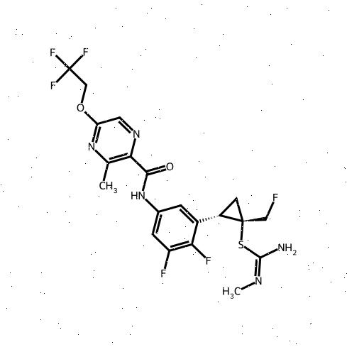 C/N=C(/N)S[C@@]1(CF)C[C@H]1c1cc(NC(=O)c2ncc(OCC(F)(F)F)nc2C)cc(F)c1F